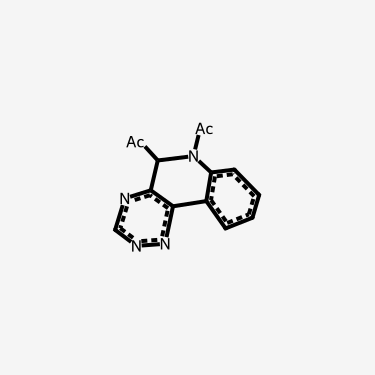 CC(=O)C1c2ncnnc2-c2ccccc2N1C(C)=O